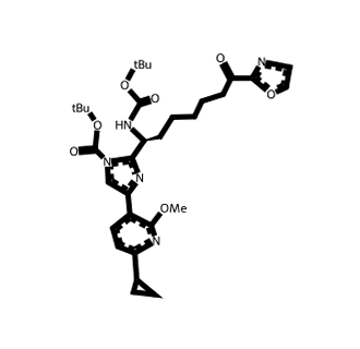 COc1nc(C2CC2)ccc1-c1cn(C(=O)OC(C)(C)C)c([C@H](CCCCCC(=O)c2ncco2)NC(=O)OC(C)(C)C)n1